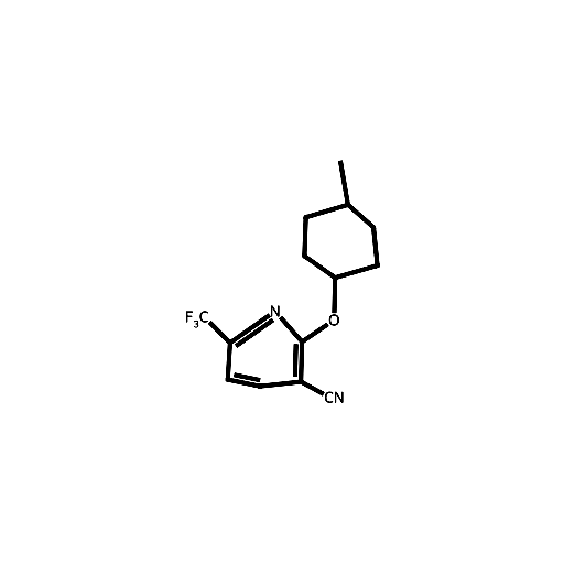 CC1CCC(Oc2nc(C(F)(F)F)ccc2C#N)CC1